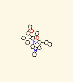 c1ccc(-n2c3ccccc3c3c(N(c4ccc(-c5ccc6ccccc6c5)cc4)c4cc5c(c6c4oc4ccccc46)-c4c(ccc6c4oc4ccccc46)C5(c4ccccc4)c4ccccc4)cccc32)cc1